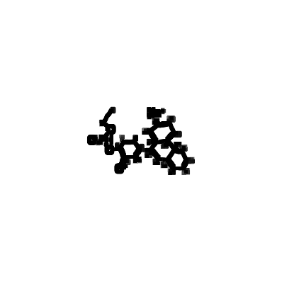 CCO[PH](=O)Oc1ccc(-c2cc3ccccc3c3ccccc23)cc1[O-].[Na+]